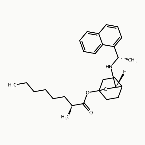 CCCCCC[C@H](C)C(=O)OC12CCC(CC1)[C@@H](N[C@@H](C)c1cccc3ccccc13)C2